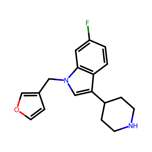 Fc1ccc2c(C3CCNCC3)cn(Cc3ccoc3)c2c1